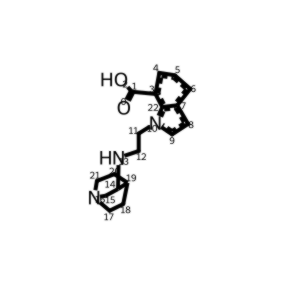 O=C(O)c1cccc2ccn(CCNC3CN4CCC3CC4)c12